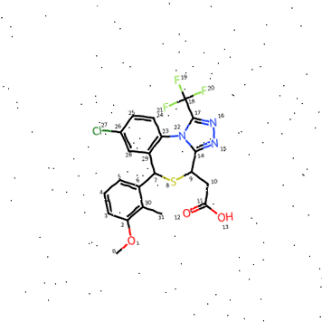 COc1cccc(C2SC(CC(=O)O)c3nnc(C(F)(F)F)n3-c3ccc(Cl)cc32)c1C